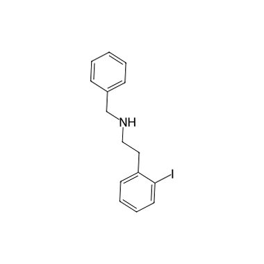 Ic1ccccc1CCNCc1ccccc1